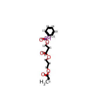 C=CC(=O)OCCCOC(=O)CCO[PH](=O)c1ccccc1